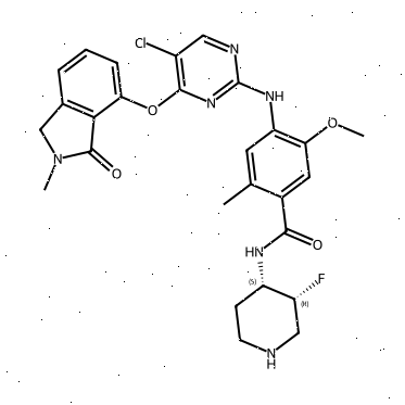 COc1cc(C(=O)N[C@H]2CCNC[C@H]2F)c(C)cc1Nc1ncc(Cl)c(Oc2cccc3c2C(=O)N(C)C3)n1